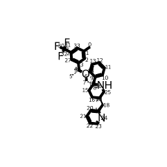 Cc1cc([C@@H](C)OC[C@@]2(c3ccccc3)CC[C@H](Cc3ccccn3)CN2)cc(C(F)(F)F)c1